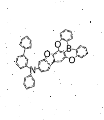 c1ccc(-c2cccc(N(c3ccccc3)c3ccc4c(c3)oc3c5c6c(cc34)Oc3ccccc3B6c3ccccc3O5)c2)cc1